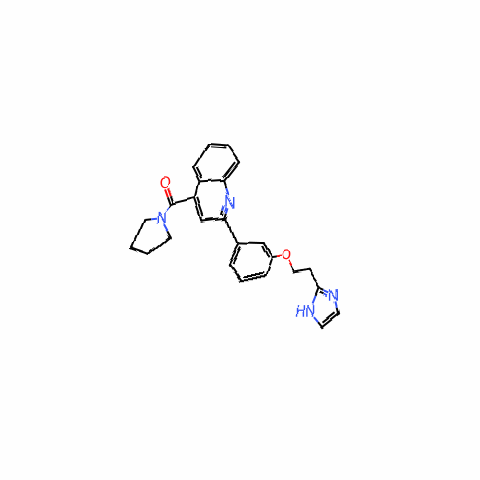 O=C(c1cc(-c2cccc(OCCc3ncc[nH]3)c2)nc2ccccc12)N1CCCC1